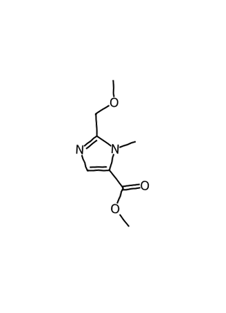 COCc1ncc(C(=O)OC)n1C